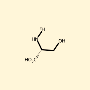 [2H]N[C@H](CO)C(=O)O